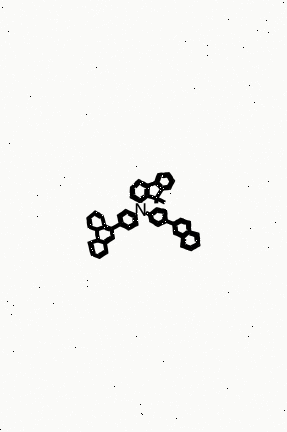 CC1(C)c2ccccc2-c2cccc(N(c3ccc(C4=C5C=CC=CC5C5C=CC=CC5=C4)cc3)c3ccc(-c4ccc5ccccc5c4)cc3)c21